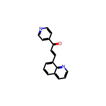 O=C(C=Cc1cccc2cccnc12)c1ccncc1